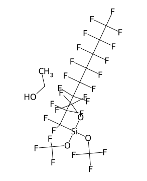 CCO.FC(F)(F)O[Si](OC(F)(F)F)(OC(F)(F)F)C(F)(F)C(F)(F)C(F)(F)C(F)(F)C(F)(F)C(F)(F)C(F)(F)C(F)(F)F